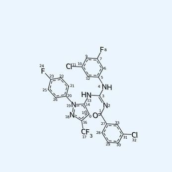 O=C(/N=C(/Nc1cc(F)cc(Cl)c1)Nc1cc(C(F)(F)F)nn1-c1ccc(F)cc1)c1cccc(Cl)c1